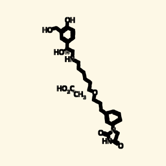 CC(=O)O.O=C1CN(c2cccc(CCCOCCCCCCNC[C@H](O)c3ccc(O)c(CO)c3)c2)C(=O)N1